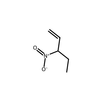 C=CC(CC)[N+](=O)[O-]